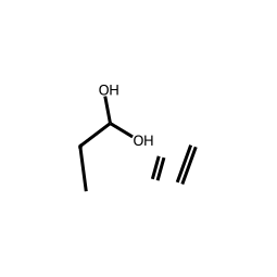 C=C.C=C.CCC(O)O